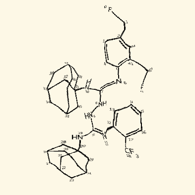 FCc1ccc(N=C(NNC(=Nc2ccccc2C(F)(F)F)NC23CC4CC(CC(C4)C2)C3)NC23CC4CC(CC(C4)C2)C3)c(CF)c1